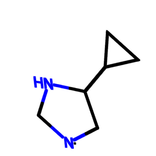 C1[N]CC(C2CC2)N1